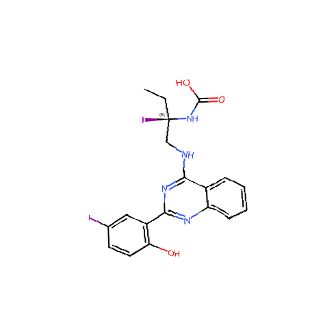 CC[C@@](I)(CNc1nc(-c2cc(I)ccc2O)nc2ccccc12)NC(=O)O